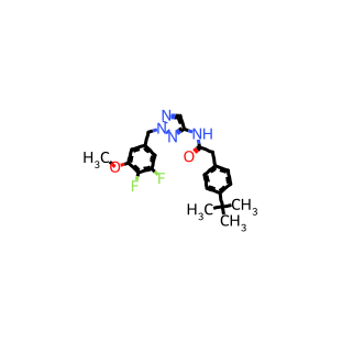 COc1cc(Cn2ncc(NC(=O)Cc3ccc(C(C)(C)C)cc3)n2)cc(F)c1F